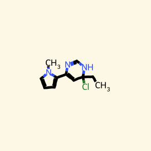 CCC1(Cl)C=C(c2cccn2C)N=CN1